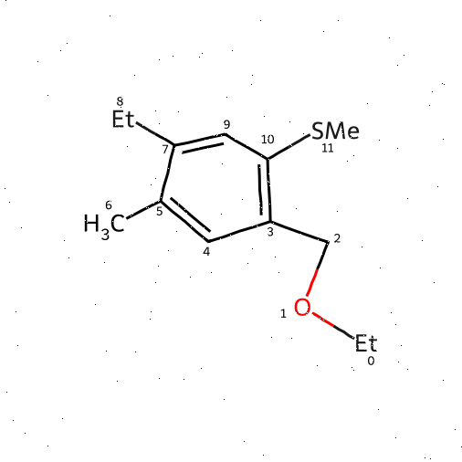 CCOCc1cc(C)c(CC)cc1SC